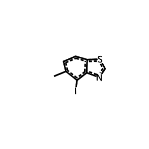 Cc1ccc2scnc2c1I